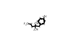 CC(=O)c1ccc(CC(C#N)(C#N)CCC(F)(F)F)cc1